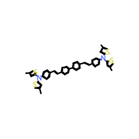 Cc1csc(N(c2ccc(C=Cc3ccc(-c4ccc(C=Cc5ccc(N(c6cc(C)cs6)c6cc(C)cs6)cc5)cc4)cc3)cc2)c2cc(C)cs2)c1